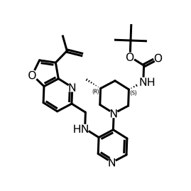 C=C(C)c1coc2ccc(CNc3cnccc3N3C[C@H](C)C[C@H](NC(=O)OC(C)(C)C)C3)nc12